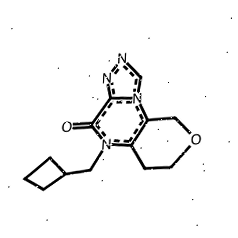 O=c1c2nncn2c2c(n1CC1CCC1)CCOC2